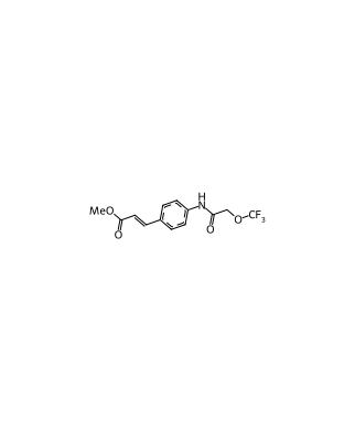 COC(=O)C=Cc1ccc(NC(=O)COC(F)(F)F)cc1